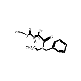 CCOC(=O)CN(Cc1ccccc1)C(=O)[C@@H](NC(=O)OC(C)(C)C)C(C)C